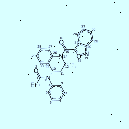 CCC(=O)N(c1ccccc1)[C@H]1C[C@@H](C)N(C(=O)c2onc3ccccc23)c2ccccc21